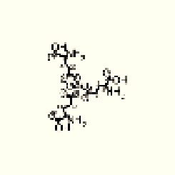 N[C@@H](CCC(=O)OP(=O)(OC(=O)CC[C@H](N)C(=O)O)OC(=O)CC[C@H](N)C(=O)O)C(=O)O